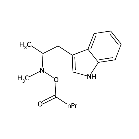 CCCC(=O)ON(C)C(C)Cc1c[nH]c2ccccc12